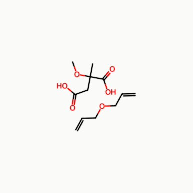 C=CCOCC=C.COC(C)(CC(=O)O)C(=O)O